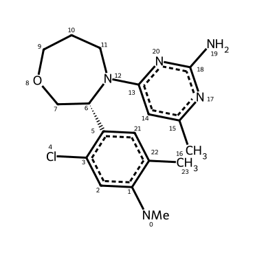 CNc1cc(Cl)c([C@@H]2COCCCN2c2cc(C)nc(N)n2)cc1C